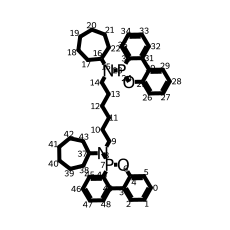 c1ccc2c(c1)OP(N(CCCCCCN(C1CCCCCC1)P1Oc3ccccc3-c3ccccc31)C1CCCCCC1)c1ccccc1-2